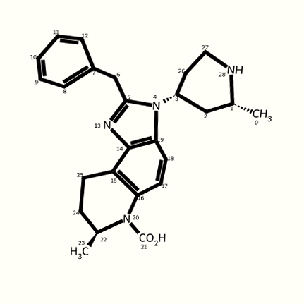 C[C@@H]1C[C@H](n2c(Cc3ccccc3)nc3c4c(ccc32)N(C(=O)O)[C@@H](C)CC4)CCN1